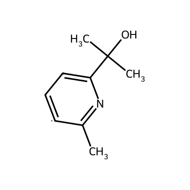 Cc1[c]ccc(C(C)(C)O)n1